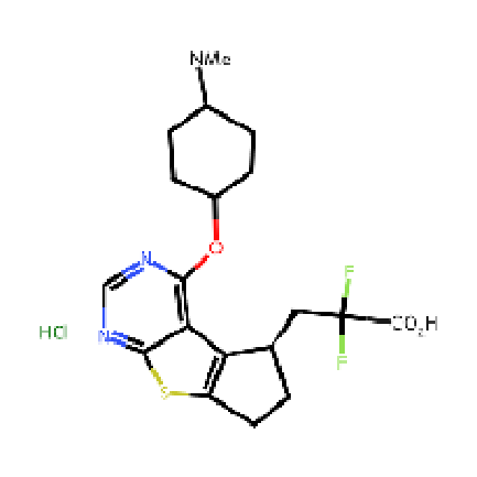 CNC1CCC(Oc2ncnc3sc4c(c23)[C@@H](CC(F)(F)C(=O)O)CC4)CC1.Cl